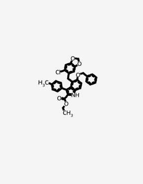 CCOC(=O)c1[nH]c2ccc(OCc3ccccc3)c(Cc3cc4c(cc3Cl)OCO4)c2c1-c1ccc(C)cc1